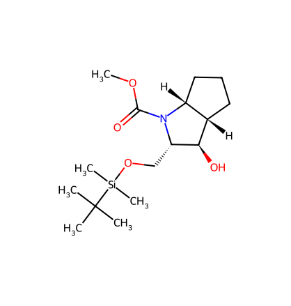 COC(=O)N1[C@@H]2CCC[C@@H]2[C@@H](O)[C@@H]1CO[Si](C)(C)C(C)(C)C